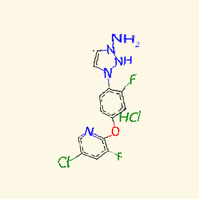 Cl.NN1[C]=CN(c2ccc(Oc3ncc(Cl)cc3F)cc2F)N1